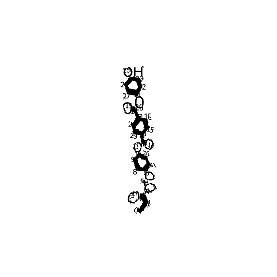 C=CC(=O)OCOc1ccc(OC(=O)c2ccc(C(=O)Oc3ccc(O)cc3)cc2)cc1